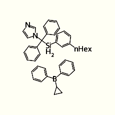 CCCCCCc1cccc([SiH2]C(c2ccccc2)(c2ccccc2)n2ccnc2)c1.c1ccc(B(c2ccccc2)C2CC2)cc1